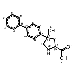 O=C(O)[C@@H]1C[C@@](O)(c2ccc(-c3ccccc3)cc2)CN1